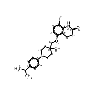 CC(C)c1ccc(N2CCC(O)(COc3ccc(F)c4c3CCC(=O)N4)CC2)cc1